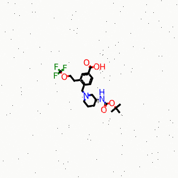 CC(C)(C)OC(=O)N[C@@H]1CCCN(Cc2ccc(C(=O)O)cc2CCOC(F)(F)F)C1